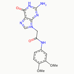 COc1ccc(NC(=O)Cn2cnc3c(=O)[nH]c(N)nc32)cc1OC